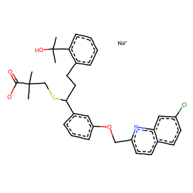 CC(C)(CSC(CCc1ccccc1C(C)(C)O)c1cccc(OCc2ccc3ccc(Cl)cc3n2)c1)C(=O)[O-].[Na+]